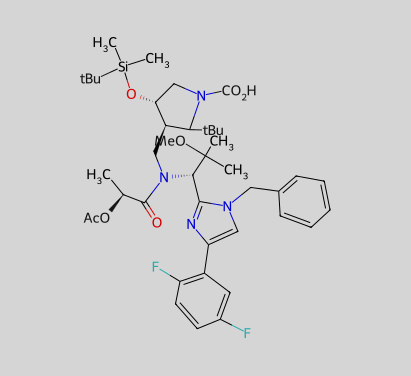 COC(C)(C)[C@H](c1nc(-c2cc(F)ccc2F)cn1Cc1ccccc1)N(C[C@@H]1C(C(C)(C)C)N(C(=O)O)C[C@H]1O[Si](C)(C)C(C)(C)C)C(=O)[C@H](C)OC(C)=O